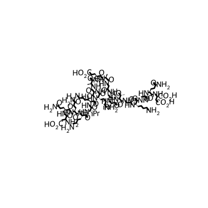 CC(C)[C@H](NC(=O)CNC(=O)CNC(=O)[C@H](C)NC(=O)[C@H](CCC(=O)O)NC(=O)[C@H](C)NC(=O)[C@@H](NC(=O)[C@H](CCCCN)NC(=O)[C@H](CCCCN)NC(=O)[C@@H](NC(=O)[C@H](CCCCN)NC(=O)[C@H](CCC(N)=O)NC(=O)[C@H](CCC(N)=O)NC(=O)[C@@H](N)CC(=O)O)C(C)C)[C@@H](C)O)C(=O)N[C@H](C(=O)NCC(=O)N[C@@H](CCCCN)C(=O)NCC(=O)N[C@@H](CCC(N)=O)C(=O)N[C@@H](CC(=O)O)C(=O)O)[C@@H](C)O